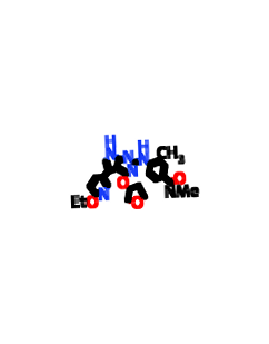 CCOc1ccc(-c2c[nH]c3nc(Nc4ccc(C(=O)NC)cc4C)nc(OC4CCOC4)c23)cn1